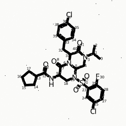 CC(C)N1CC2N(C(=O)C(NC(=O)C3CCCC3)CN2S(=O)(=O)c2cc(Cl)ccc2F)C(Cc2ccc(Cl)cc2)C1=O